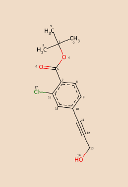 CC(C)(C)OC(=O)c1ccc(C#CCO)cc1Cl